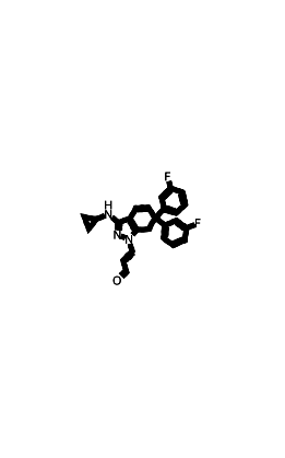 O=CC=Cn1nc(NC2CC2)c2c1CC(c1cccc(F)c1)(c1cccc(F)c1)C=C2